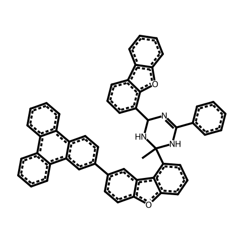 CC1(c2cccc3oc4ccc(-c5ccc6c7ccccc7c7ccccc7c6c5)cc4c23)NC(c2ccccc2)=NC(c2cccc3c2oc2ccccc23)N1